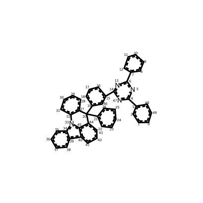 c1ccc(-c2nc(-c3ccccc3)nc(-c3cccc(C4(c5ccccc5)c5ccccc5-n5c6ccccc6c6cccc4c65)c3)n2)cc1